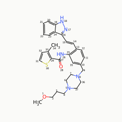 COCCCN1CCN(Cc2ccc(C=Cc3n[nH]c4ccccc34)c(NC(=O)c3sccc3C)c2)CC1